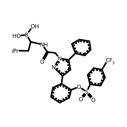 CC(C)CC(NC(=O)Cn1nc(-c2ccccc2OS(=O)(=O)c2ccc(C(F)(F)F)cc2)cc1-c1ccccc1)B(O)O